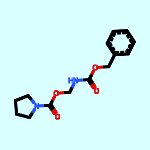 O=C(NCOC(=O)N1CCCC1)OCc1ccccc1